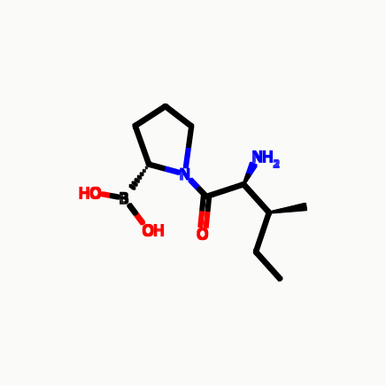 CC[C@H](C)[C@H](N)C(=O)N1CCC[C@H]1B(O)O